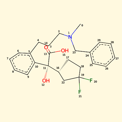 CN(CCCc1ccccc1[C@@](O)(C(=O)O)[C@@H]1CCC(F)(F)C1)Cc1ccccc1